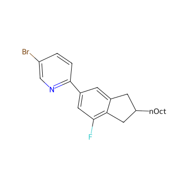 CCCCCCCCC1Cc2cc(-c3ccc(Br)cn3)cc(F)c2C1